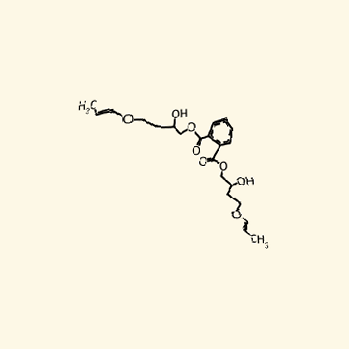 CC=COCCC(O)COC(=O)c1ccccc1C(=O)OCC(O)CCOC=CC